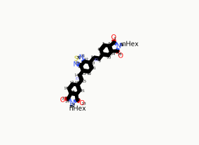 CCCCCCN1C(=O)c2ccc(/C=C/c3ccc(/C=C/c4ccc5c(c4)C(=O)N(CCCCCC)C5=O)c4nsnc34)cc2C1=O